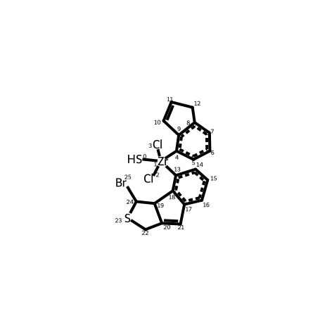 [SH][Zr]([Cl])([Cl])([c]1cccc2c1C=CC2)[c]1cccc2c1C1C(=C2)CSC1Br